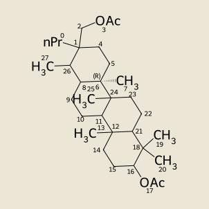 CCCC1(COC(C)=O)CC[C@]2(C)C(CCC3C4(C)CCC(OC(C)=O)C(C)(C)C4CCC32C)C1C